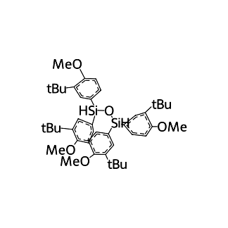 COc1ccc([SiH](O[SiH](c2ccc(OC)c(C(C)(C)C)c2)c2ccc(OC)c(C(C)(C)C)c2)c2ccc(OC)c(C(C)(C)C)c2)cc1C(C)(C)C